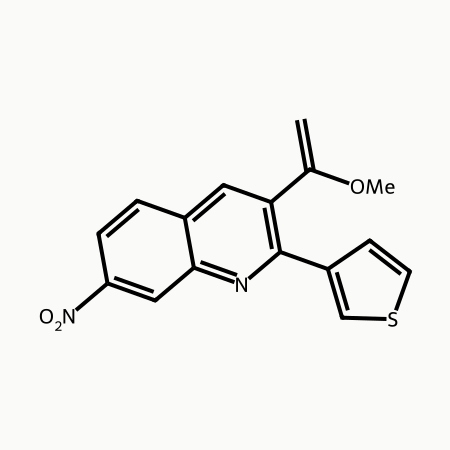 C=C(OC)c1cc2ccc([N+](=O)[O-])cc2nc1-c1ccsc1